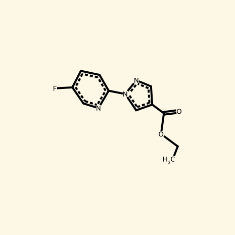 CCOC(=O)c1cnn(-c2ccc(F)cn2)c1